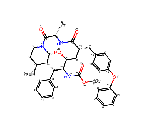 CNC1CCN(C(=O)[C@@H](NC(=O)[C@H](Cc2ccc(Oc3ccccc3)cc2)C[C@H](O)[C@H](Cc2ccccc2)NC(=O)OC(C)(C)C)C(C)C)CC1